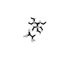 CC(O)C(=O)O.CCN=C(N(CC)CC)[N+](CC)(CC)CC